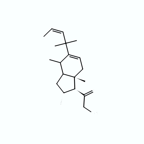 C/C=C\C(C)(C)C1=CC[C@@]2(C)C(C[C@@H](C)[C@@H]2C(=O)COC(C)=O)C1C